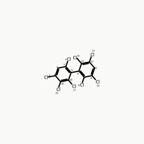 Clc1cc(Cl)c(-c2c(Cl)c(Cl)cc(Cl)c2Cl)c(Cl)c1Cl